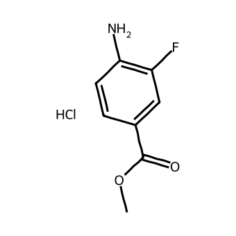 COC(=O)c1ccc(N)c(F)c1.Cl